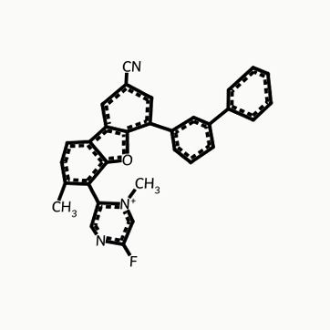 Cc1ccc2c(oc3c(-c4cccc(-c5ccccc5)c4)cc(C#N)cc32)c1-c1cnc(F)c[n+]1C